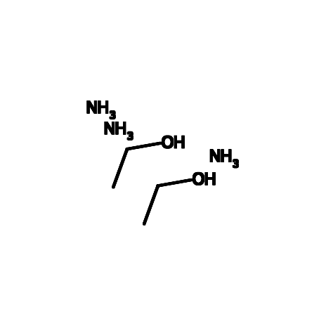 CCO.CCO.N.N.N